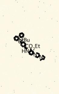 CCOC(=O)C1(CCNc2ccc(N3CCC(N4CCCC4C)CC3)cc2C)CCC(O[Si](c2ccccc2)(c2ccccc2)C(C)(C)C)CC1